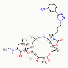 CC[C@H]1OC(=O)[C@H](C)C(=O)[C@H](C)[C@@H](O[C@@H]2O[C@H](C)CC(NCC#N)C2O)[C@](C)(OC)C[C@@H](C)CN[C@H](C)[C@H]2N(CCCCn3cc(-c4cccc(N)c4)nn3)C(=O)O[C@]12C